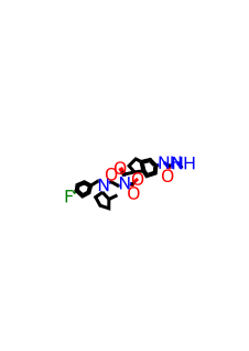 CNC(=O)Nc1ccc2c(c1)CCC21OC(=O)N(CC(=O)N(Cc2ccc(F)cc2)C2CCCC2C)C1=O